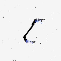 CCCCCCCc1cc(Cc2ccc(CCCCCCCCCCCCCCCCCCc3ccc(Cc4ccc(N)c(CCCCCCC)c4)cc3)cc2)ccc1N